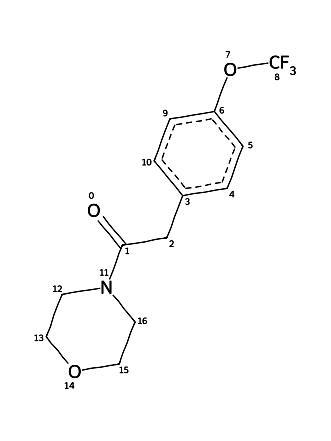 O=C(Cc1ccc(OC(F)(F)F)cc1)N1CCOCC1